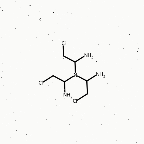 NC(CCl)N(C(N)CCl)C(N)CCl